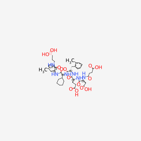 Cc1ccccc1C[C@H](NC(=O)[C@H](CCC(=O)O)NC(=O)[C@H](CC(=O)O)NC(=O)CCC(=O)O)C(=O)N[C@H](C(=O)N[C@@H](CC(C)C)C(=O)NCCCB(O)O)C1CCCCC1